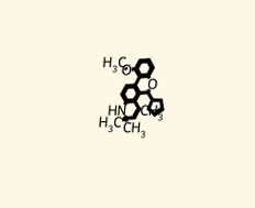 COc1cccc2c1-c1ccc3c(c1C(C1CC=CC1)O2)C(C)=CC(C)(C)N3